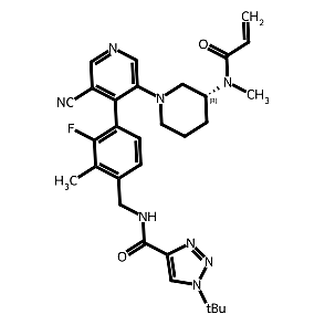 C=CC(=O)N(C)[C@@H]1CCCN(c2cncc(C#N)c2-c2ccc(CNC(=O)c3cn(C(C)(C)C)nn3)c(C)c2F)C1